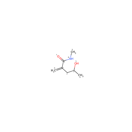 C=C(CC(C)O)C(=O)NC